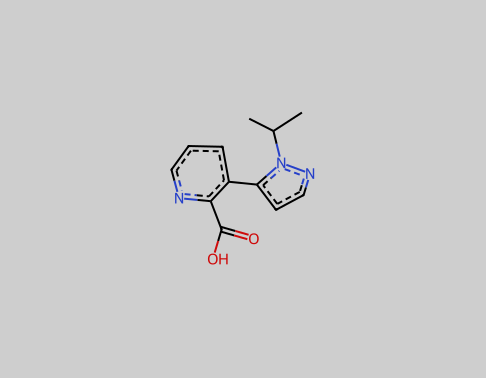 CC(C)n1nccc1-c1cccnc1C(=O)O